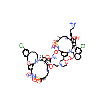 C[C@@H]1[C@@H](C)C/C=C/[C@](CC(=O)N(C)C)(OCCN2CCOC(c3cc4cc5c3OC[C@]3(CCCc6cc(Cl)ccc63)CN5C[C@@H]3CC[C@H]3[C@@](O)(C#CCCN(C)C)/C=C/C[C@H](C)[C@@H](C)S(=O)(=O)NC4=O)C2)[C@@H]2CC[C@H]2CN2CCCCc3cc(Cl)ccc3COc3ccc(cc32)C(=O)NS1(=O)=O